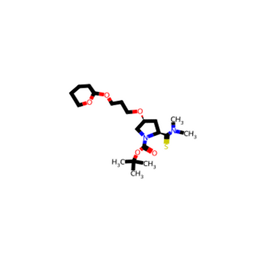 CN(C)C(=S)[C@@H]1C[C@@H](OCCCOC2CCCCO2)CN1C(=O)OC(C)(C)C